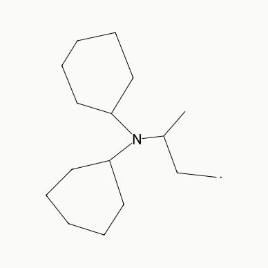 [CH2]CC(C)N(C1CCCCC1)C1CCCCC1